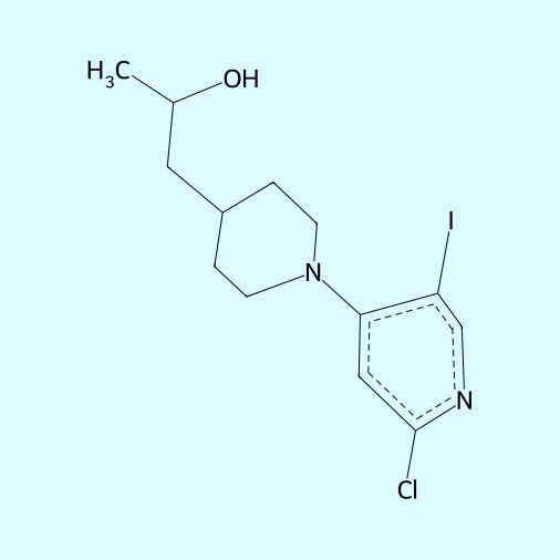 CC(O)CC1CCN(c2cc(Cl)ncc2I)CC1